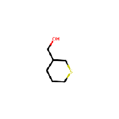 OCC1[C]SCCC1